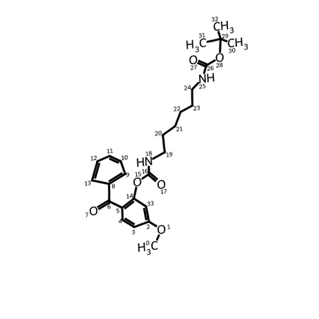 COc1ccc(C(=O)c2ccccc2)c(OC(=O)NCCCCCCNC(=O)OC(C)(C)C)c1